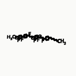 CCCCCCCC1CCC(C(F)CCOc2ccc(OCCC(F)c3ccc(-c4ccc(OCC)c(F)c4F)cc3)c(F)c2F)CC1